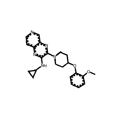 COc1ccccc1OC1CCN(c2nc3cnccc3nc2NC2CC2)CC1